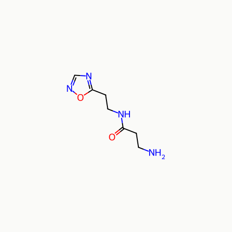 NCCC(=O)NCCc1ncno1